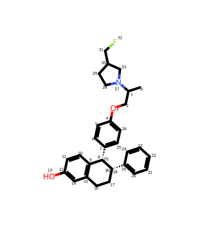 CC(COc1ccc([C@H]2c3ccc(O)cc3CC[C@H]2c2ccccc2)cc1)N1CCC(CF)C1